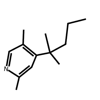 CCCC(C)(C)c1cc(C)ncc1C